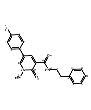 CCCCn1cc(-c2ccc(C(F)(F)F)cc2)cc(C(=O)NCCc2ccccc2)c1=O